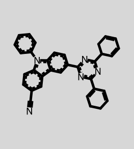 N#Cc1ccc2c(c1)c1cc(-c3nc(C4=CCCC=C4)nc(C4C=CC=CC4)n3)ccc1n2-c1ccccc1